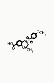 COc1ccc(S(=O)(=O)N2Cc3ccc(C(=O)O)cc3O[C@H](C)C2)cc1